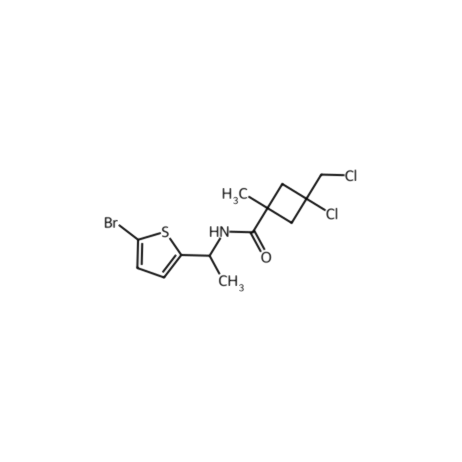 CC(NC(=O)C1(C)CC(Cl)(CCl)C1)c1ccc(Br)s1